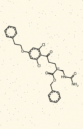 NC(=O)NC[C@H](CCC(=O)c1c(Cl)cc(OCCc2ccccc2)cc1Cl)C(=O)OCc1ccccc1